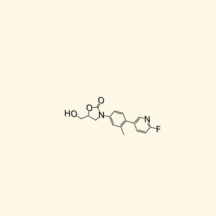 Cc1cc(N2CC(CO)OC2=O)ccc1-c1ccc(F)nc1